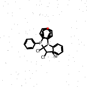 ClC([CH2][Ni])C(Cl)(P(c1ccccc1)c1ccccc1)P(c1ccccc1)c1ccccc1